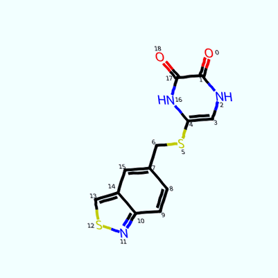 O=c1[nH]cc(SCc2ccc3nscc3c2)[nH]c1=O